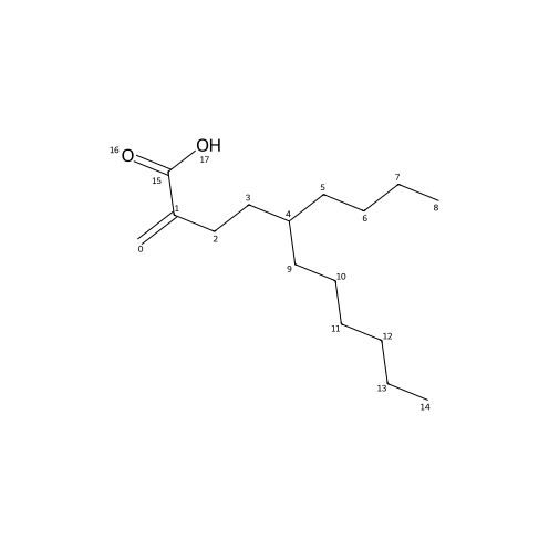 C=C(CCC(CCCC)CCCCCC)C(=O)O